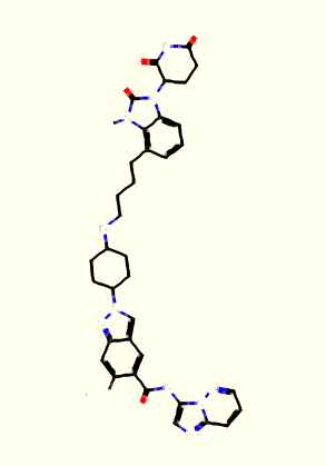 COc1cc2nn(C3CCC(NCCCCc4cccc5c4n(C)c(=O)n5C4CCC(=O)NC4=O)CC3)cc2cc1C(=O)Nc1cnc2cccnn12